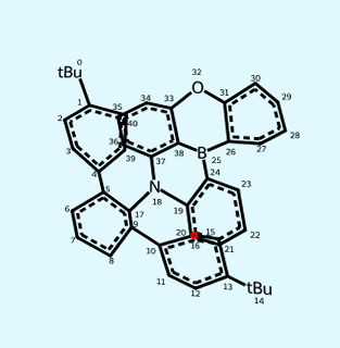 CC(C)(C)c1ccc(-c2cccc(-c3ccc(C(C)(C)C)cc3)c2N2c3ccccc3B3c4ccccc4Oc4cccc2c43)cc1